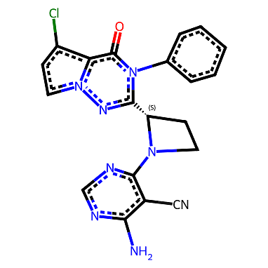 N#Cc1c(N)ncnc1N1CC[C@H]1c1nn2ccc(Cl)c2c(=O)n1-c1ccccc1